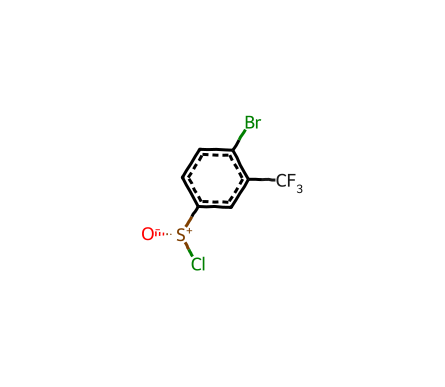 [O-][S@@+](Cl)c1ccc(Br)c(C(F)(F)F)c1